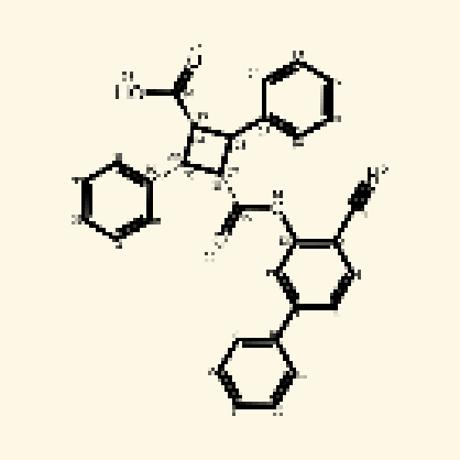 N#Cc1ccc(-c2ccccc2)cc1OC(=O)[C@H]1C(c2ccccc2)[C@H](C(=O)O)[C@H]1c1ccccc1